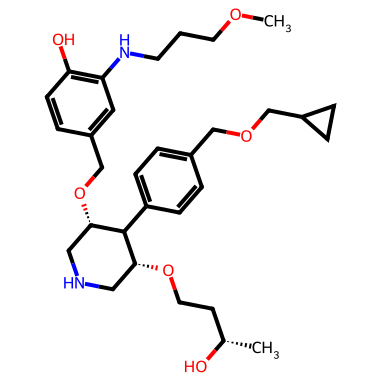 COCCCNc1cc(CO[C@H]2CNC[C@@H](OCC[C@H](C)O)C2c2ccc(COCC3CC3)cc2)ccc1O